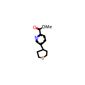 COC(=O)c1ccc(C2CCSCC2)cn1